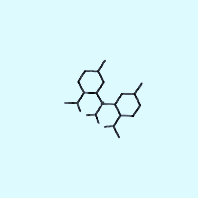 CC1CCC(C(C)C)C(P(C(C)C)C2CC(C)CCC2C(C)C)C1